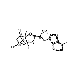 Cc1cccc2c(C[C@H](N)B3O[C@@H]4C[C@@H]5C[C@@H](C5(C)C)[C@]4(C)O3)coc12